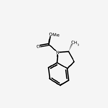 COC(=O)N1c2ccccc2C[C@H]1C